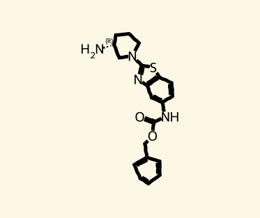 N[C@@H]1CCCN(c2nc3cc(NC(=O)OCc4ccccc4)ccc3s2)C1